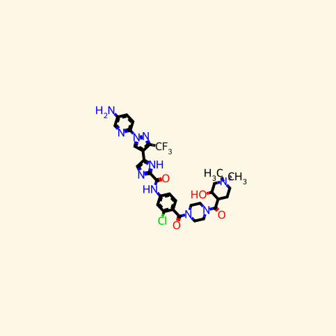 C[N+]1(C)CCC(C(=O)N2CCN(C(=O)c3ccc(NC(=O)c4ncc(-c5cn(-c6ccc(N)cn6)nc5C(F)(F)F)[nH]4)cc3Cl)CC2)C(O)C1